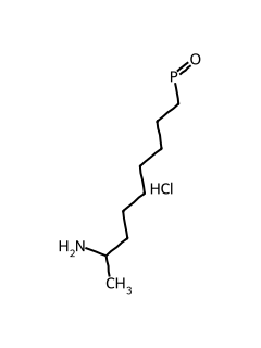 CC(N)CCCCCCCP=O.Cl